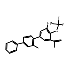 C=C(C)c1cc(-c2ccc(-c3ccccc3)cc2F)cc(F)c1OC(F)(F)F